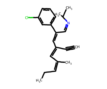 C#CC(=C\C(C)=C/CC)/C=C(\C=N/C(C)C)c1cccc(Cl)c1